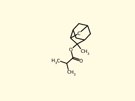 CC(C)C(=O)OC1(C)C2CC3CC(C2)C1C3